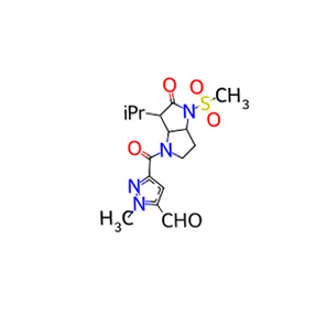 CC(C)C1C(=O)N(S(C)(=O)=O)C2CCN(C(=O)c3cc(C=O)n(C)n3)C12